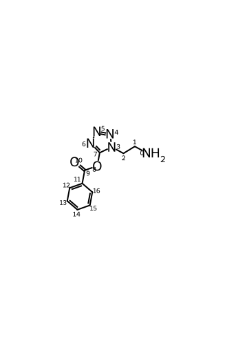 NCCn1nnnc1OC(=O)c1ccccc1